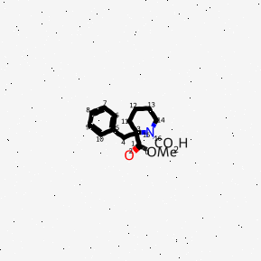 COC(=O)C1(Cc2ccccc2)CCCCN1C(=O)O